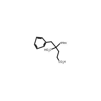 CCCCCCC(CCC(=O)O)(Cc1ccccc1)C(=O)O